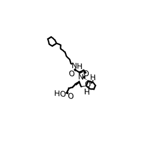 O=C(O)CC/C=C\C[C@H]1[C@H](c2nc(C(=O)NCCCCCCC3CCCCC3)co2)[C@@H]2CC[C@H]1O2